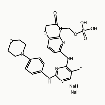 O=C1COc2ccc(Nc3nc(Nc4ccc(N5CCOCC5)cc4)ncc3F)nc2N1COP(=O)(O)O.[NaH].[NaH]